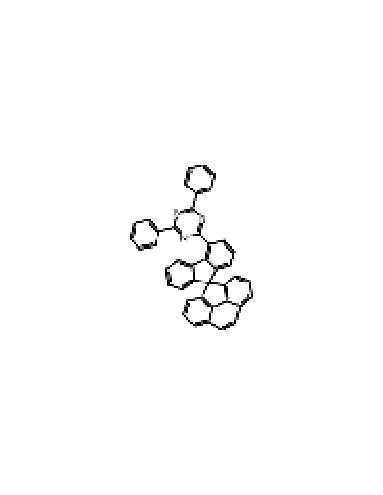 c1ccc(-c2nc(-c3ccccc3)nc(-c3cccc4c3-c3ccccc3C43c4cccc5ccc6cccc3c6c45)n2)cc1